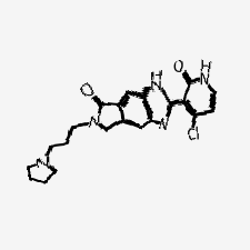 O=C1c2cc3[nH]c(-c4c(Cl)cc[nH]c4=O)nc3cc2CN1CCCN1CCCC1